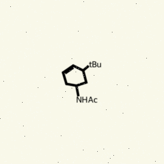 CC(=O)NC1CC=CC(C(C)(C)C)C1